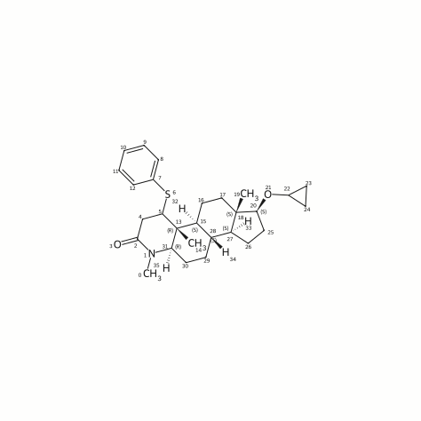 CN1C(=O)CC(Sc2ccccc2)[C@]2(C)[C@H]3CC[C@]4(C)[C@@H](OC5CC5)CC[C@H]4[C@@H]3CC[C@@H]12